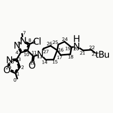 Cc1cc(-c2nn(C)c(Cl)c2C(=O)N2CCC3(CCC(NCCC(C)(C)C)CC3)CC2)no1